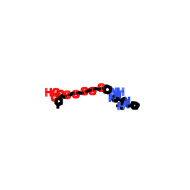 CC1=CCC(CCOCCOCCOCCOCCOC2CCC(Nc3nccc(-c4cnn(Cc5ccccc5)c4N(C)C)n3)CC2)(S(=O)(=O)O)C=C1